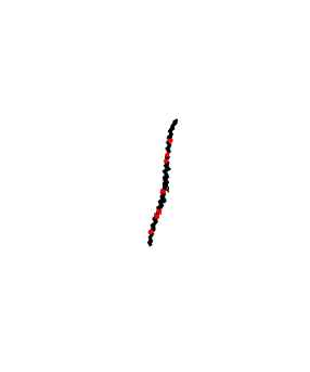 CCCCCCCCCCCCCCCCCCCCCCC=NCCCCCCCCCCCCCCCCCCCC